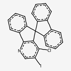 Clc1c(I)cnc2c1C1(c3ccccc3-c3ccccc31)c1ccccc1-2